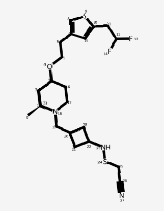 C[C@H]1CC(OCCc2csc(CC(F)F)c2)CCN1CC1CC(NSCC#N)C1